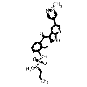 CCCN(C)S(=O)(=O)Nc1cccc(C(=O)c2c[nH]c3ncc(-c4cnn(C)c4)cc23)c1F